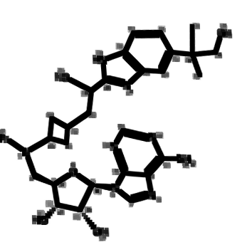 CC(C)N(C[C@H]1O[C@@H](n2cnc3c(N)ncnc32)[C@H](O)[C@@H]1O)C1CC(CC(O)c2nc3cc(C(C)(C)CO)ccc3[nH]2)C1